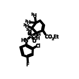 [2H]C1([2H])CC=C(C(=O)OCC)[C@]([2H])(S(=O)(=O)Nc2ccc(F)cc2Cl)C1([2H])[2H]